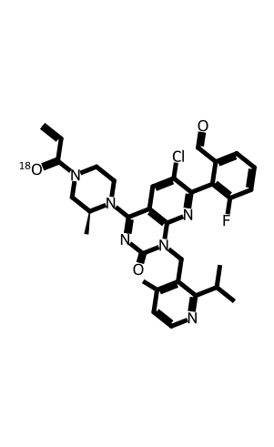 C=CC(=[18O])N1CCN(c2nc(=O)n(Cc3c(C)ccnc3C(C)C)c3nc(-c4c(F)cccc4C=O)c(Cl)cc23)[C@@H](C)C1